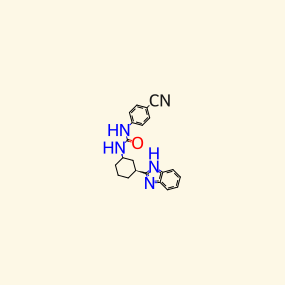 N#Cc1ccc(NC(=O)N[C@@H]2CCC[C@H](c3nc4ccccc4[nH]3)C2)cc1